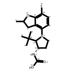 CC1Cc2c(N3CC[C@H](NC(=O)O)C3C(C)(C)C)ccc(F)c2O1